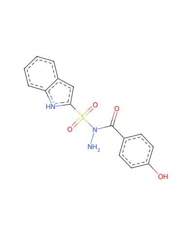 NN(C(=O)c1ccc(O)cc1)S(=O)(=O)c1cc2ccccc2[nH]1